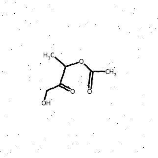 CC(=O)OC(C)C(=O)CO